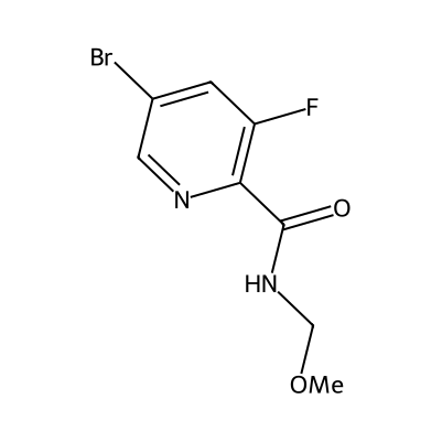 COCNC(=O)c1ncc(Br)cc1F